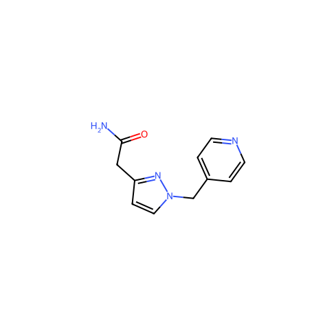 NC(=O)Cc1ccn(Cc2ccncc2)n1